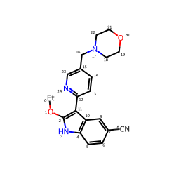 CCOc1[nH]c2ccc(C#N)cc2c1-c1ccc(CN2CCOCC2)cn1